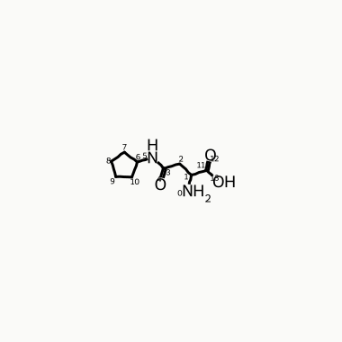 NC(CC(=O)NC1CCCC1)C(=O)O